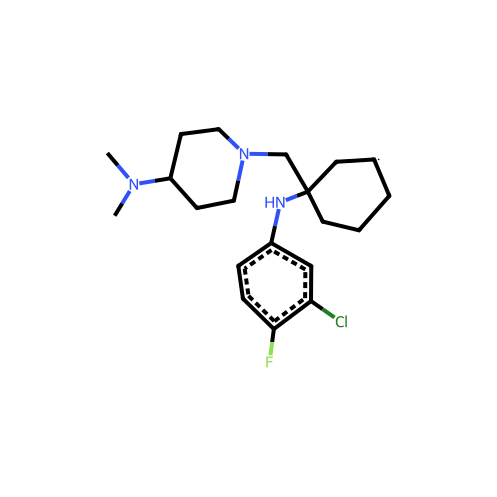 CN(C)C1CCN(CC2(Nc3ccc(F)c(Cl)c3)C[CH]CCC2)CC1